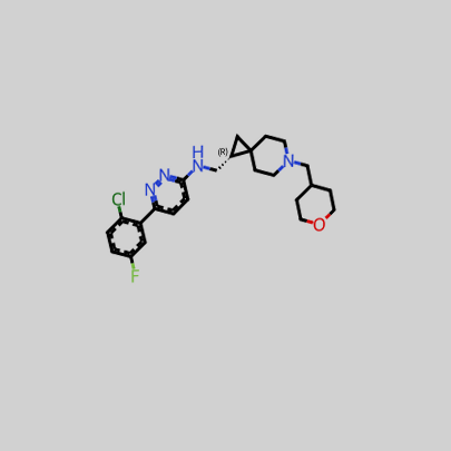 Fc1ccc(Cl)c(-c2ccc(NC[C@@H]3CC34CCN(CC3CCOCC3)CC4)nn2)c1